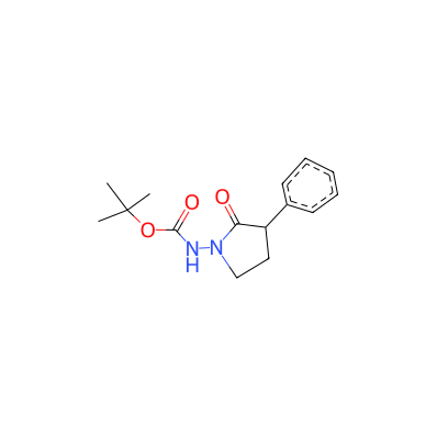 CC(C)(C)OC(=O)NN1CCC(c2ccccc2)C1=O